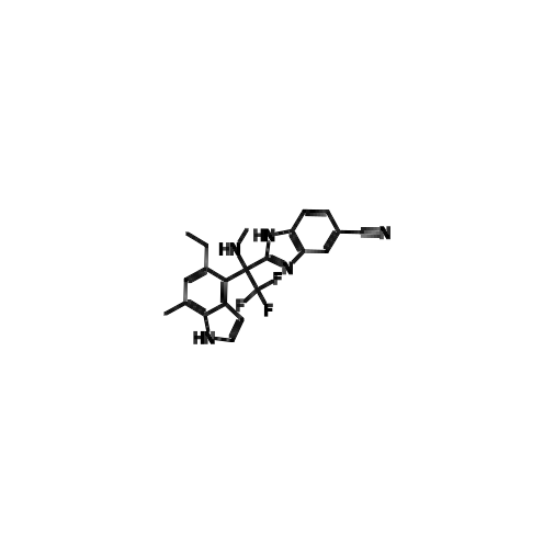 CCc1cc(C)c2[nH]ccc2c1C(NC)(c1nc2cc(C#N)ccc2[nH]1)C(F)(F)F